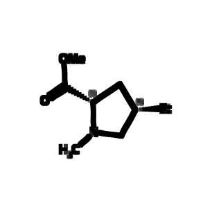 CC[C@H]1C[C@@H](C(=O)OC)N(C)C1